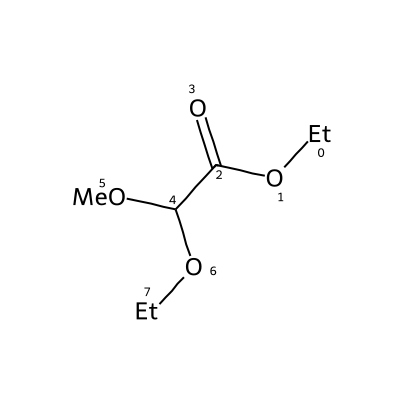 CCOC(=O)C(OC)OCC